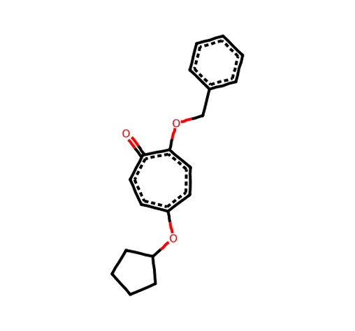 O=c1ccc(OC2CCCC2)ccc1OCc1ccccc1